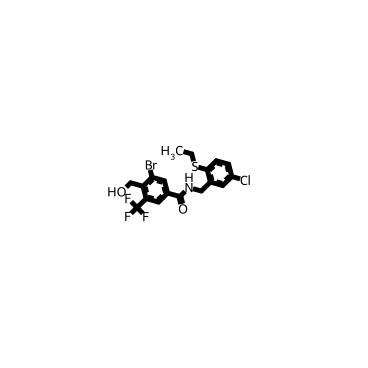 CCSc1ccc(Cl)cc1CNC(=O)c1cc(Br)c(CO)c(C(F)(F)F)c1